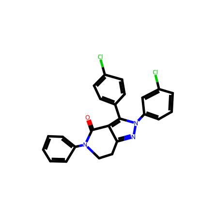 O=C1c2c(nn(-c3cccc(Cl)c3)c2-c2ccc(Cl)cc2)CCN1c1ccccc1